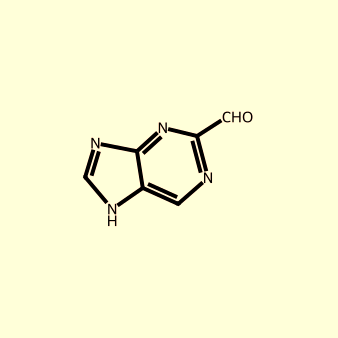 O=Cc1ncc2[nH]cnc2n1